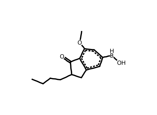 CCCCC1Cc2cc(BO)cc(OC)c2C1=O